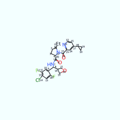 CC[C@@H]1CC[C@H](C(=O)NC(c2cc(F)c(Cl)cc2F)C2COC2)N1C(=O)c1cc(C2CC2)ccn1